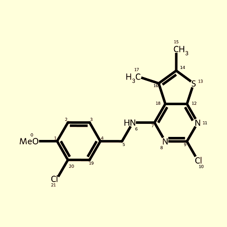 COc1ccc(CNc2nc(Cl)nc3sc(C)c(C)c23)cc1Cl